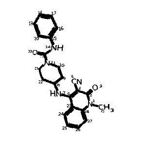 Cn1c(=O)c(C#N)c(NC2CCN(C(=O)Nc3ccccc3)CC2)c2ccccc21